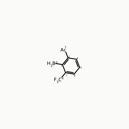 Bc1c(C(C)=O)cccc1C(F)(F)F